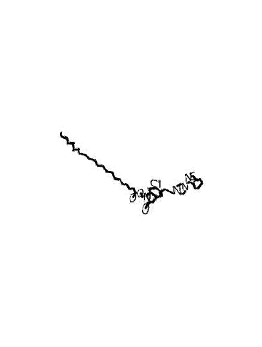 CCCCCCCCCCCCCCCCCCCCCC(=O)OCN1C(=O)Cc2cc(CCN3CCN(c4nsc5ccccc45)CC3)c(Cl)cc21